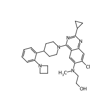 CN(CCO)c1cc2c(N3CCC(c4ccccc4N4CCC4)CC3)nc(C3CC3)nc2cc1Cl